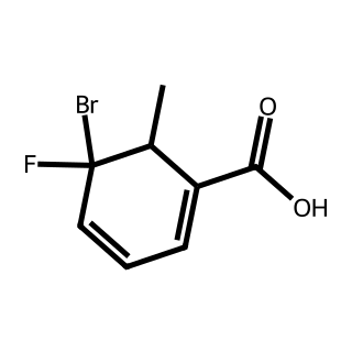 CC1C(C(=O)O)=CC=CC1(F)Br